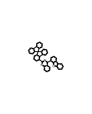 c1ccc2c(c1)-c1ccccc1C21c2ccccc2-c2c(-c3nc(-c4cccc5c4oc4ccccc45)c4ccccc4n3)cccc21